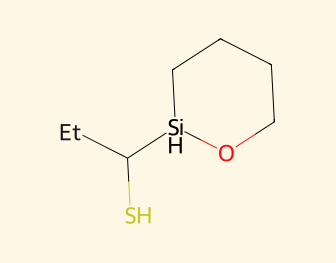 CCC(S)[SiH]1CCCCO1